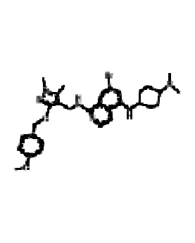 COc1ccc(COc2nn(C)c(C)c2CNc2nccc3c(NC4CCC(N(C)C)CC4)cc(Br)cc23)cc1